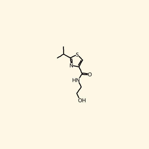 CC(C)c1nc(C(=O)NCCO)cs1